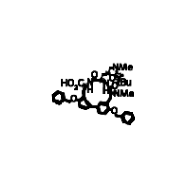 CNC[C@@H](C[C@@H]1NC(=O)[C@@H](NC)Cc2cc(ccc2OCc2ccccc2)-c2ccc(OCc3ccccc3)c(c2)C[C@@H](C(=O)O)NC1=O)O[Si](C)(C)C(C)(C)C